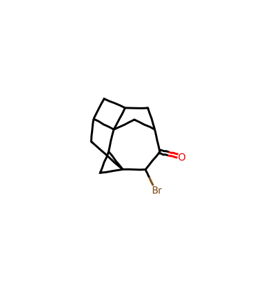 O=C1C2CC3CC4CC5(CC5C34C2)C1Br